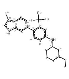 CCN1CCC[C@@H](Nc2cc(C(F)(F)F)c(-c3ccc4c(F)c[nH]c4c3)nn2)C1